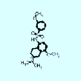 COc1cccc(S(=O)(=O)Nc2ccc(OC)c3c2CC[C@H](N(C)C)C3)c1